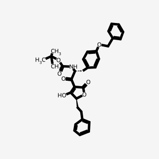 CC(C)(C)OC(=O)N[C@H](Cc1ccc(OCc2ccccc2)cc1)C(=O)C1=C(O)[C@H](CCc2ccccc2)OC1=O